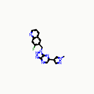 Cn1cc(-c2cnc3nnn(Cc4cc5cccnc5cc4F)c3n2)cn1